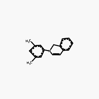 Cc1cc(C)cc(N2C=Cc3ccccc3C2)c1